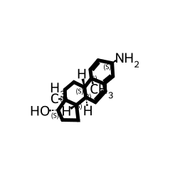 C[C@]12CC[C@H]3[C@@H](C=CC4=C[C@@H](N)C=C[C@@]43C)[C@@H]1CC[C@@H]2O